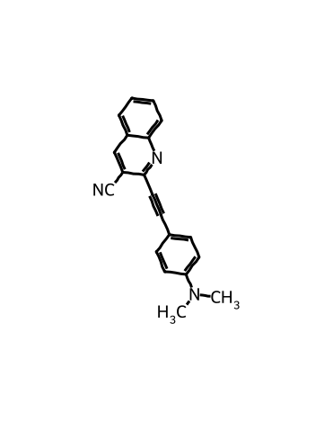 CN(C)c1ccc(C#Cc2nc3ccccc3cc2C#N)cc1